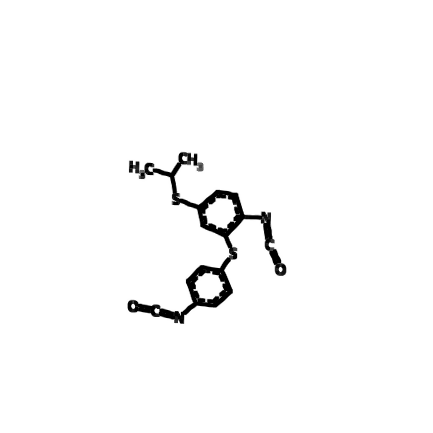 CC(C)Sc1ccc(N=C=O)c(Sc2ccc(N=C=O)cc2)c1